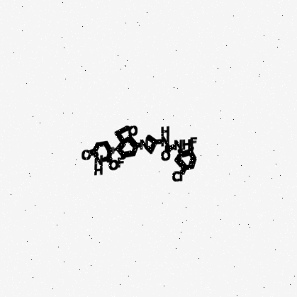 O=C1CC[C@H](c2c(F)cc(N3CC(NC(=O)Nc4cc(Cl)ccc4F)C3)c3c2CCO3)C(=O)N1